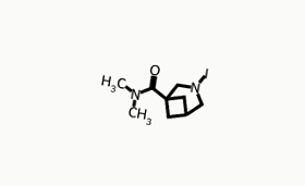 CN(C)C(=O)C12CC(CN(I)C1)C2